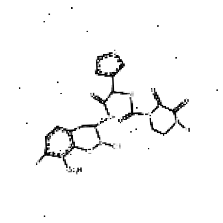 CCN1CCN(C(=O)NC(C(=O)NC2Cc3ccc(F)c(C(=O)O)c3OB2O)c2ccsc2)C(=O)C1=O